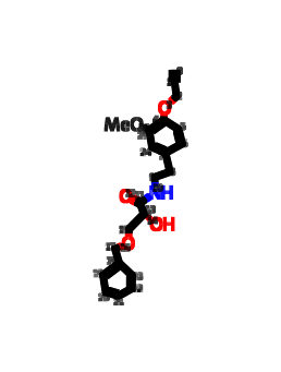 C#CCOc1ccc(CCNC(=O)[C@@H](O)COCc2ccccc2)cc1OC